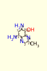 Cc1cnc2c(N)cc(N)c(O)c2n1